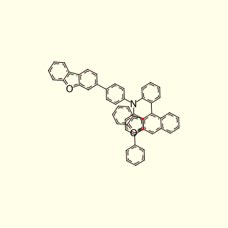 c1ccc(-c2ccc(N(c3ccc(-c4ccc5c(c4)oc4ccccc45)cc3)c3ccccc3-c3c4ccccc4cc4oc5ccccc5c34)cc2)cc1